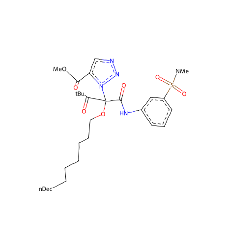 CCCCCCCCCCCCCCCCOC(C(=O)Nc1cccc(S(=O)(=O)NC)c1)(C(=O)C(C)(C)C)n1nncc1C(=O)OC